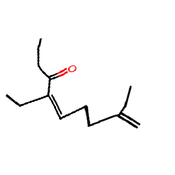 C=C(C)CCC=C(CC)C(=O)CC